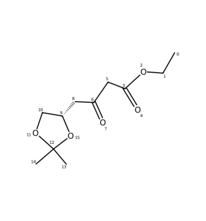 CCOC(=O)CC(=O)C[C@H]1COC(C)(C)O1